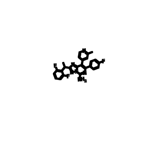 Cc1cc(-c2c(-c3ccc(F)cc3)nc(N)n3nc(C(C)c4c(F)cccc4F)nc23)ccn1